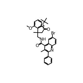 COc1cccc(F)c1C(C)(CNC(=O)c1c(C)c(-c2ccccc2)nc2ccc(Br)cc12)CC(=O)OC(C)(C)C